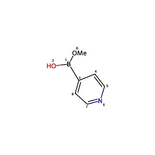 COB(O)c1ccncc1